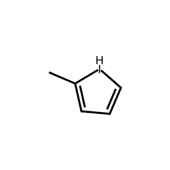 CC1=CC=C[IH]1